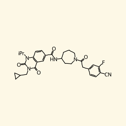 CC(C)n1c(=O)n(CC2CC2)c(=O)c2cc(C(=O)NC3CCCN(C(=O)Cc4ccc(C#N)c(F)c4)CC3)ccc21